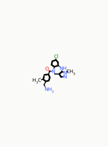 Cc1cc(C(=O)N2Cc3cnn(C)c3Nc3cc(Cl)ccc32)ccc1CN